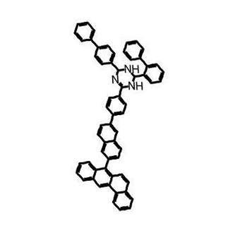 c1ccc(-c2ccc(C3N=C(c4ccc(-c5ccc6cc(-c7c8ccccc8cc8c7ccc7ccccc78)ccc6c5)cc4)NC(c4ccccc4-c4ccccc4)N3)cc2)cc1